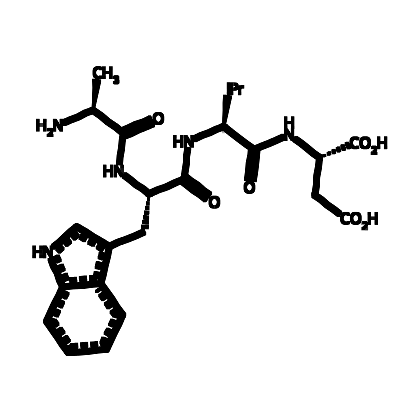 CC(C)[C@H](NC(=O)[C@H](Cc1c[nH]c2ccccc12)NC(=O)[C@H](C)N)C(=O)N[C@@H](CC(=O)O)C(=O)O